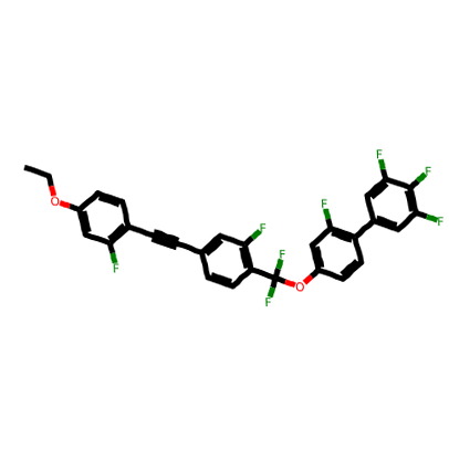 CCOc1ccc(C#Cc2ccc(C(F)(F)Oc3ccc(-c4cc(F)c(F)c(F)c4)c(F)c3)c(F)c2)c(F)c1